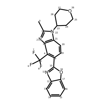 Cc1nc2c(C(F)(F)F)c(-c3nc4ccccc4o3)ccc2n1C1CCOCC1